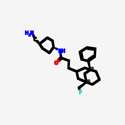 NC[C@H]1CC[C@H](NC(=O)CCC2C[C@@]3(CF)CCC[C@@](c4ccccc4)(C2)C3)CC1